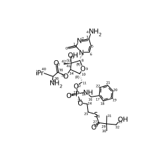 C=C1N=C(N)C=CN1[C@@H]1O[C@H](COP(=O)(NCc2ccccc2)OCCSC(=O)C(C)(C)CO)C(OC(=O)C(N)C(C)C)[C@]1(C)O